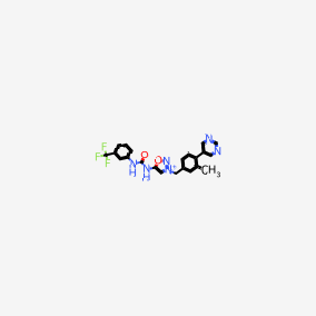 Cc1cc(C[n+]2cc(NC(=O)Nc3cccc(C(F)(F)F)c3)on2)ccc1-c1cncnc1